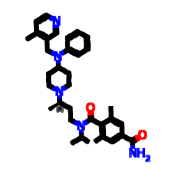 Cc1ccncc1CN(c1ccccc1)C1CCN([C@H](C)CCN(C(=O)c2c(C)cc(C(N)=O)cc2C)C(C)C)CC1